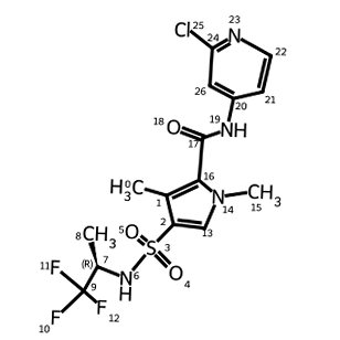 Cc1c(S(=O)(=O)N[C@H](C)C(F)(F)F)cn(C)c1C(=O)Nc1ccnc(Cl)c1